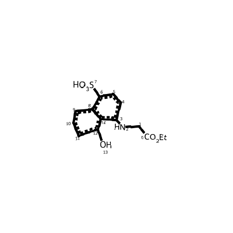 CCOC(=O)CNc1ccc(S(=O)(=O)O)c2cccc(O)c12